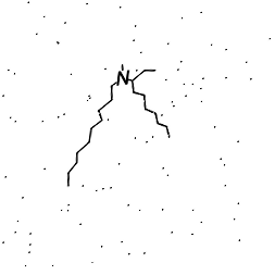 CCCCCCCCCCN(C)C(CC)CCCCCCC